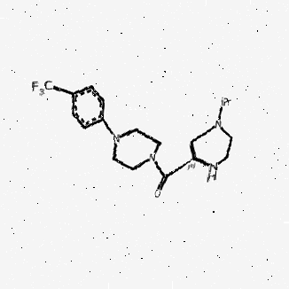 CC(C)N1CCN[C@@H](C(=O)N2CCN(c3ccc(C(F)(F)F)cc3)CC2)C1